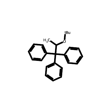 CC(OC(C)(C)C)C(c1ccccc1)(c1ccccc1)c1ccccc1